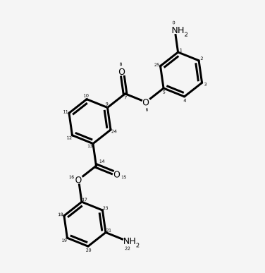 Nc1cccc(OC(=O)c2cccc(C(=O)Oc3cccc(N)c3)c2)c1